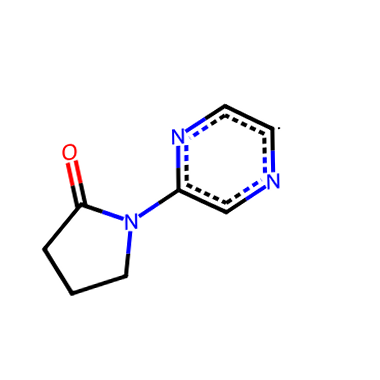 O=C1CCCN1c1cn[c]cn1